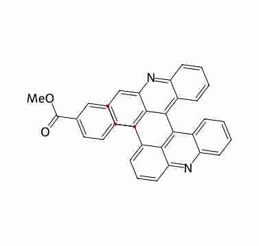 COC(=O)c1ccc(Cc2cccc3nc4ccccc4c(-c4c5ccccc5nc5ccccc45)c23)cc1